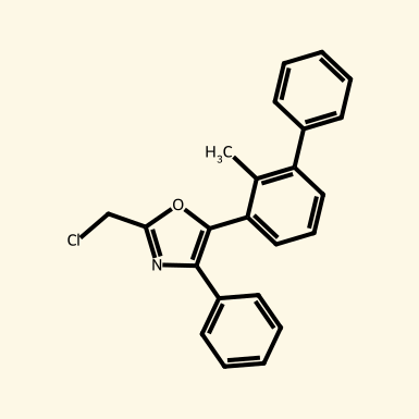 Cc1c(-c2ccccc2)cccc1-c1oc(CCl)nc1-c1ccccc1